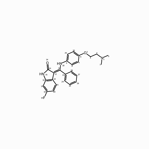 CN(C)CCOc1ccc(N/C(=C2\C(=O)Nc3cc(F)ccc32)c2ccccc2)cc1